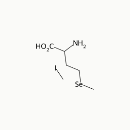 CI.C[Se]CCC(N)C(=O)O